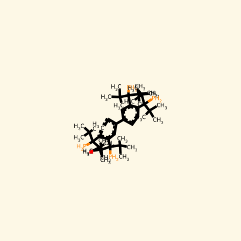 CC(C)(C)C(P)(c1ccc(-c2ccc(C(P)(C(C)(C)C)C(C)(C)C)c(C(P)(C(C)(C)C)C(C)(C)C)c2)cc1C(P)(C(C)(C)C)C(C)(C)C)C(C)(C)C